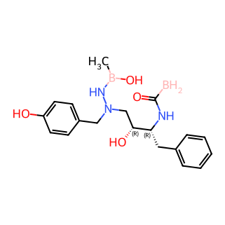 BC(=O)N[C@H](Cc1ccccc1)[C@H](O)CN(Cc1ccc(O)cc1)NB(C)O